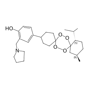 CC(C)[C@@H]1CC[C@@H](C)CC12OOC1(CCC(c3ccc(O)c(CN4CCCC4)c3)CC1)OO2